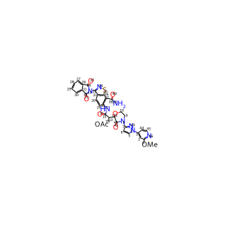 COc1cc(-n2ccc(N3CCO[C@H]([C@@H](OC(C)=O)C(=O)Nc4ccc5c(N6C(=O)c7ccccc7C6=O)nsc5c4C(N)=O)C3=O)n2)ccn1